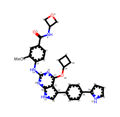 COc1cc(C(=O)NC2COC2)ccc1Nc1nc(OC2CCC2)c2c(-c3ccc(-c4ccc[nH]4)cc3)c[nH]c2n1